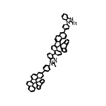 CCc1nc2ccccc2n1-c1ccc(-c2ccc3c4c(ccc3c2)-c2ccc3c(-c5cccc6c5nc(C)n6-c5ccc(-c6ccc7c8c(ccc7c6)-c6ccc7ccccc7c6C86c7ccccc7-c7ccccc76)cc5)cccc3c2C42c3ccccc3-c3ccccc32)cc1